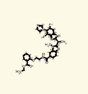 CCOC(=O)c1ccccc1OCCNC(=O)c1ccc2nc(C(C)c3nc4c(F)c(-n5ccnc5)c(F)cc4[nH]3)n(C)c2c1